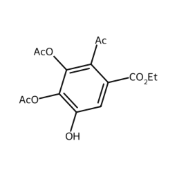 CCOC(=O)c1cc(O)c(OC(C)=O)c(OC(C)=O)c1C(C)=O